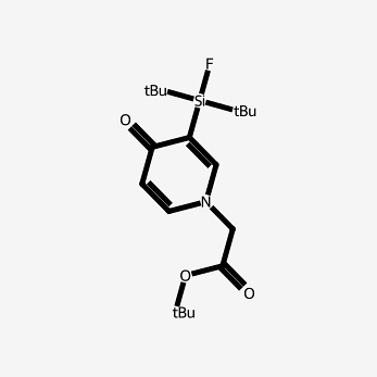 CC(C)(C)OC(=O)Cn1ccc(=O)c([Si](F)(C(C)(C)C)C(C)(C)C)c1